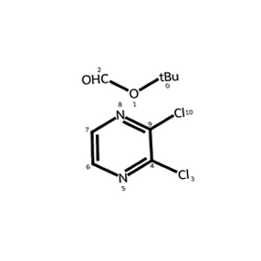 CC(C)(C)OC=O.Clc1nccnc1Cl